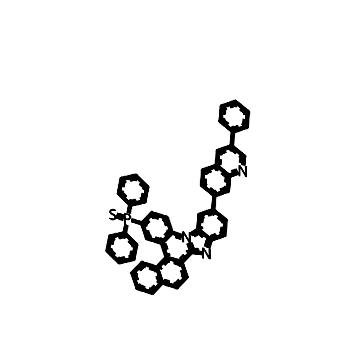 S=P(c1ccccc1)(c1ccccc1)c1ccc2c(c1)c1c3ccccc3ccc1c1nc3ccc(-c4ccc5cc(-c6ccccc6)cnc5c4)cc3n21